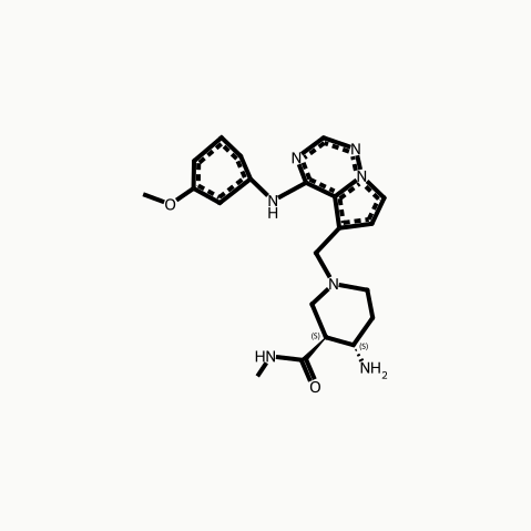 CNC(=O)[C@H]1CN(Cc2ccn3ncnc(Nc4cccc(OC)c4)c23)CC[C@@H]1N